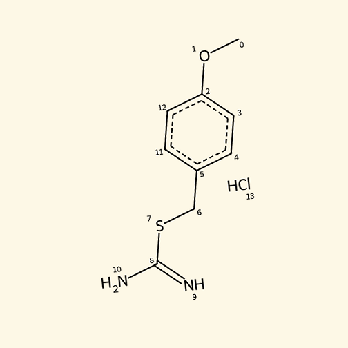 COc1ccc(CSC(=N)N)cc1.Cl